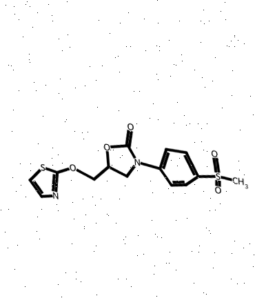 CS(=O)(=O)c1ccc(N2CC(COc3nccs3)OC2=O)cc1